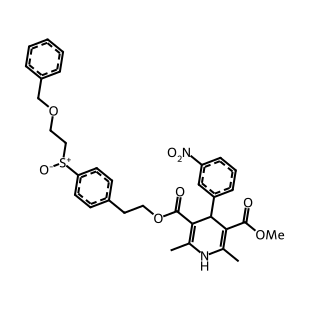 COC(=O)C1=C(C)NC(C)=C(C(=O)OCCc2ccc([S+]([O-])CCOCc3ccccc3)cc2)C1c1cccc([N+](=O)[O-])c1